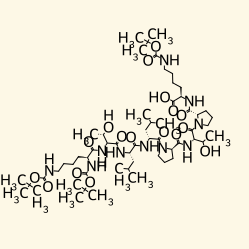 CC(C)C[C@H](NC(=O)C(NC(=O)[C@H](CCCCNC(=O)OC(C)(C)C)NC(=O)OC(C)(C)C)[C@H](C)O)C(=O)N[C@H](CC(C)C)C(=O)N1CCC[C@@H]1C(=O)N[C@H](C(=O)N1CCC[C@H]1C(=O)N[C@H](CCCCNC(=O)OC(C)(C)C)C(=O)O)C(C)O